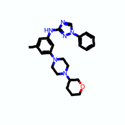 Cc1cc(Nc2ncn(-c3ccccc3)n2)cc(N2CCN(C3CCCOC3)CC2)c1